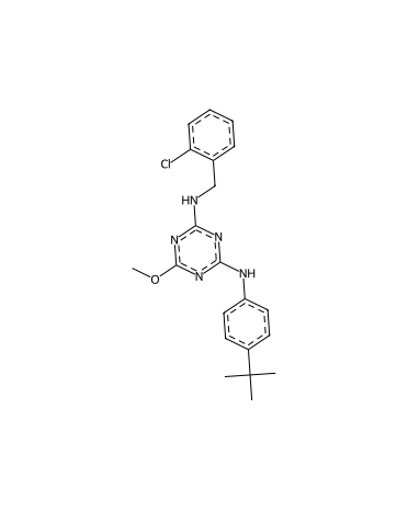 COc1nc(NCc2ccccc2Cl)nc(Nc2ccc(C(C)(C)C)cc2)n1